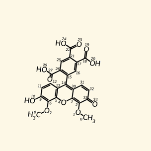 COc1c2oc3c(OC)c(O)ccc3c(-c3cc(C(=O)O)c(C(=O)O)cc3C(=O)O)c-2ccc1=O